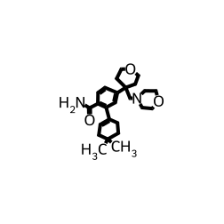 CC1(C)CC=C(c2cc(C3(CN4CCOCC4)CCOCC3)ccc2C(N)=O)CC1